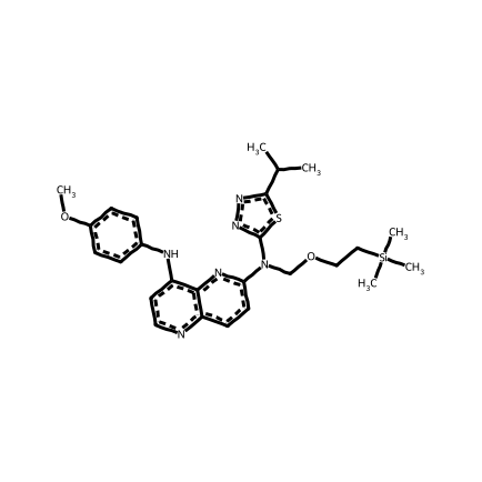 COc1ccc(Nc2ccnc3ccc(N(COCC[Si](C)(C)C)c4nnc(C(C)C)s4)nc23)cc1